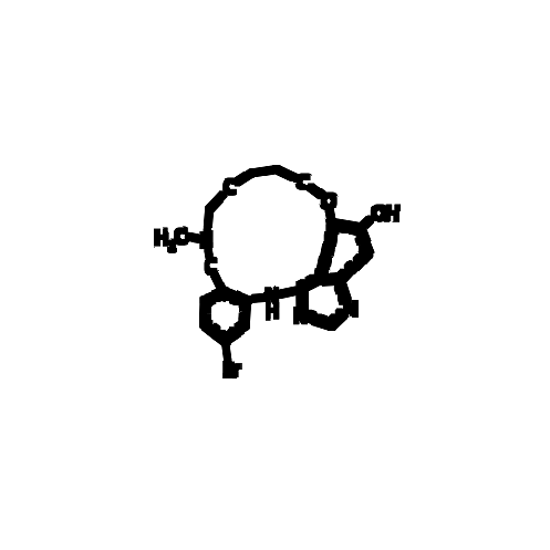 CN1CCCCCOc2cc3c(ncnc3cc2O)Nc2cc(Br)ccc2C1